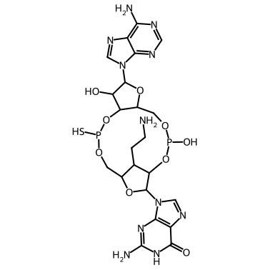 NCCC1C2COP(S)OC3C(COP(O)OC1C(n1cnc4c(=O)[nH]c(N)nc41)O2)OC(n1cnc2c(N)ncnc21)C3O